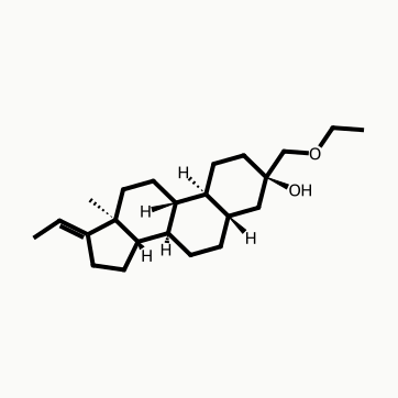 CC=C1CC[C@H]2[C@@H]3CC[C@H]4C[C@@](O)(COCC)CC[C@@H]4[C@H]3CC[C@]12C